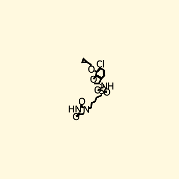 O=C1CN(CCCCCS(=O)(=O)N[C@@H]2COc3c2ccc(Cl)c3OCC2CC2)C(=O)N1